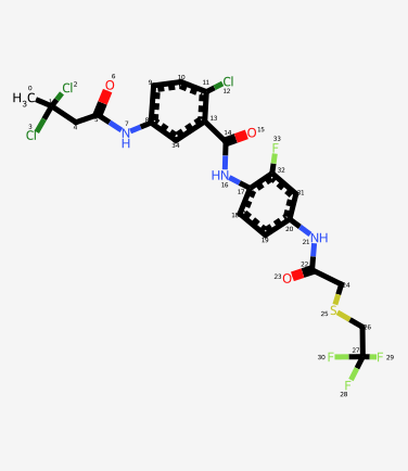 CC(Cl)(Cl)CC(=O)Nc1ccc(Cl)c(C(=O)Nc2ccc(NC(=O)CSCC(F)(F)F)cc2F)c1